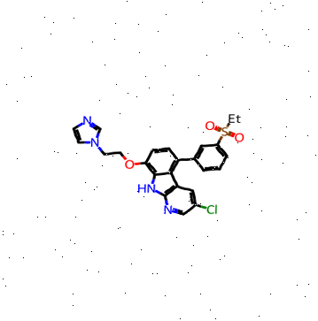 CCS(=O)(=O)c1cccc(-c2ccc(OCCn3ccnc3)c3[nH]c4ncc(Cl)cc4c23)c1